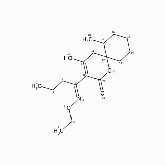 CCC/C(=N\OCC)C1=C(O)CC2(CCCCC2C)OC1=O